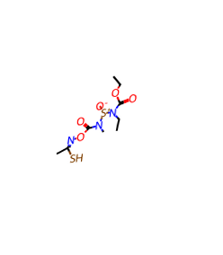 CCOC(=O)N(CC)[S+]([O-])N(C)C(=O)ON=C(C)S